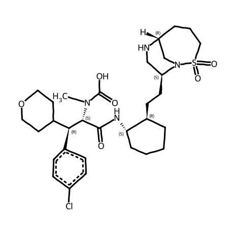 CN(C(=O)O)[C@H](C(=O)N[C@H]1CCCC[C@@H]1CC[C@H]1CN[C@@H]2CCCS(=O)(=O)N1C2)[C@@H](c1ccc(Cl)cc1)C1CCOCC1